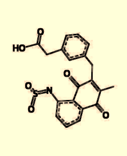 CC1=C(Cc2cccc(CC(=O)O)c2)C(=O)c2c(N=S(=O)=O)cccc2C1=O